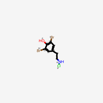 Oc1c(Br)cc(CCNCl)cc1Br